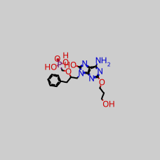 Nc1nc(OCCCO)nc2c1nc(O)n2CC(Cc1ccccc1)OCP(=O)(O)O